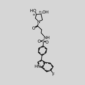 O=C(CCNS(=O)(=O)c1ccc(-c2c[nH]c3cc(F)ccc23)cc1)N1C[C@@H](O)[C@H](O)C1